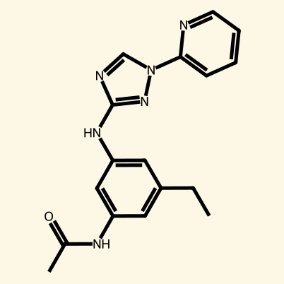 CCc1cc(NC(C)=O)cc(Nc2ncn(-c3ccccn3)n2)c1